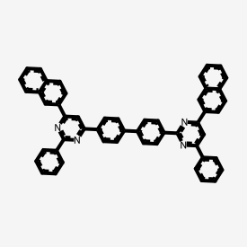 c1ccc(-c2cc(-c3ccc4ccccc4c3)nc(-c3ccc(-c4ccc(-c5cc(-c6ccc7ccccc7c6)nc(-c6ccccc6)n5)cc4)cc3)n2)cc1